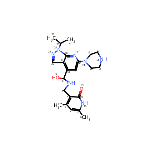 Cc1cc(C)c(CNC(O)c2cc(N3CCNCC3)nc3c2cnn3C(C)C)c(=O)[nH]1